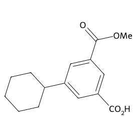 COC(=O)c1cc(C(=O)O)cc(C2CCCCC2)c1